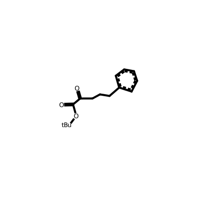 CC(C)(C)OC(=O)C(=O)CCCc1ccccc1